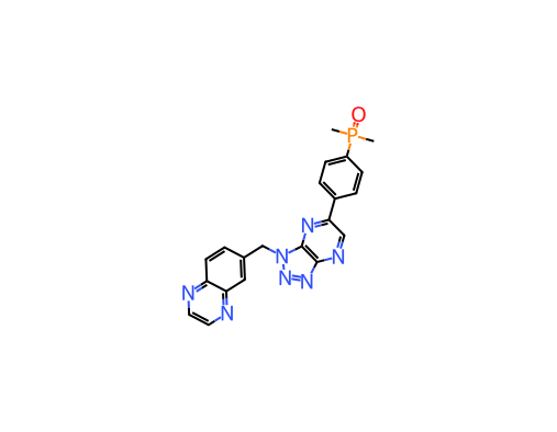 CP(C)(=O)c1ccc(-c2cnc3nnn(Cc4ccc5nccnc5c4)c3n2)cc1